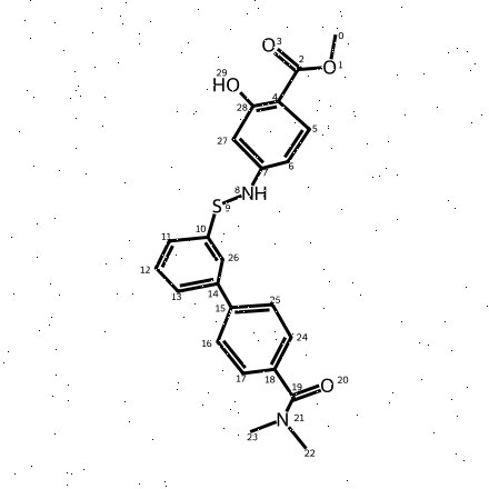 COC(=O)c1ccc(NSc2cccc(-c3ccc(C(=O)N(C)C)cc3)c2)cc1O